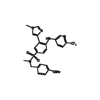 COc1ccc(CN(C)S(=O)(=O)c2ccc(Nc3ccc(C(F)(F)F)nc3)c(-c3cn(C)cn3)c2)cc1